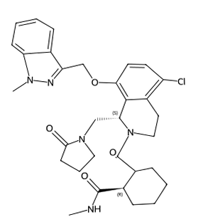 CNC(=O)[C@@H]1CCCCC1C(=O)N1CCc2c(Cl)ccc(OCc3nn(C)c4ccccc34)c2[C@H]1CN1CCCC1=O